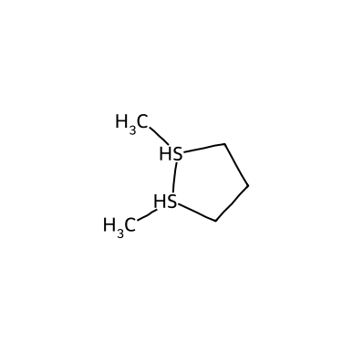 C[SH]1CCC[SH]1C